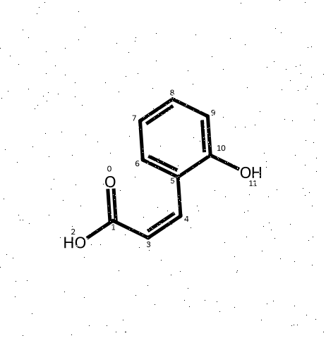 O=C(O)/C=C\c1ccccc1O